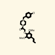 CC=Cc1cc(OC)c(OCC(=O)N2CCN(Cc3ccc(Cl)cc3)CC2)c(OC)c1